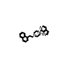 c1ccc2c(CCN3CCN(c4nccc5cc[nH]c45)CC3)cccc2c1